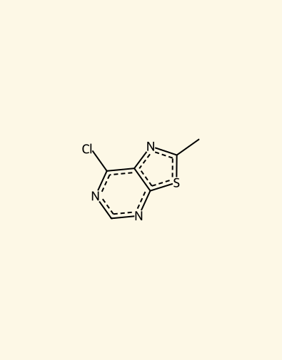 Cc1nc2c(Cl)ncnc2s1